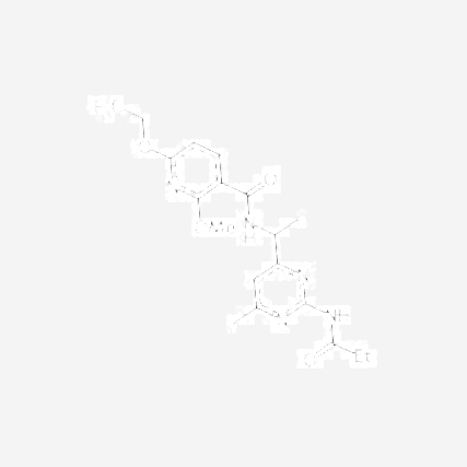 CCC(=O)Nc1nc(C)cc(C(C)NC(=O)c2ccc(OCC(F)(F)F)nc2OC)n1